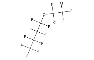 FC(F)(Cl)C(F)(Cl)OC(F)(F)C(F)(F)C(F)(F)C(F)(F)I